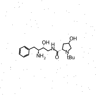 CC(C)(C)N1C[C@H](O)C[C@H]1C(=O)NC[C@@H](O)[C@@H](N)Cc1ccccc1